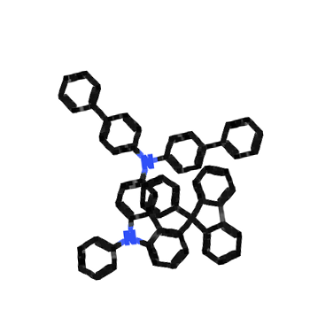 c1ccc(-c2ccc(N(c3ccc(-c4ccccc4)cc3)c3ccc4c(c3)c3c(C5(c6ccccc6)c6ccccc6-c6ccccc65)cccc3n4-c3ccccc3)cc2)cc1